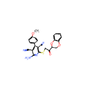 COc1ccc(-c2c(C#N)c(N)nc(SCC(=O)C3COc4ccccc4O3)c2C#N)cc1